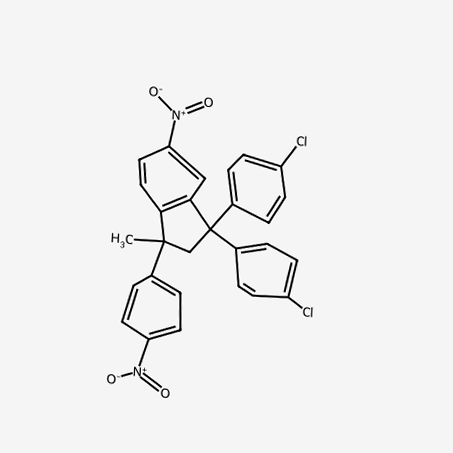 CC1(c2ccc([N+](=O)[O-])cc2)CC(c2ccc(Cl)cc2)(c2ccc(Cl)cc2)c2cc([N+](=O)[O-])ccc21